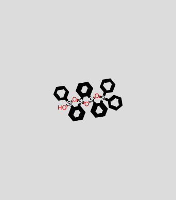 O[Si](O[Si](O[Si](O[Si](c1ccccc1)(c1ccccc1)c1ccccc1)(c1ccccc1)c1ccccc1)(c1ccccc1)c1ccccc1)(c1ccccc1)c1ccccc1